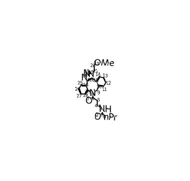 CCCC(=O)NCCC(=O)N1Cc2ccccc2-c2c(nnn2CCOC)-c2ccccc21